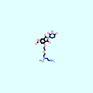 CN(CCN)CCOCCOc1cccc2c1C(=O)N(C1CCC(=O)NC1=O)C2=O.O=CO